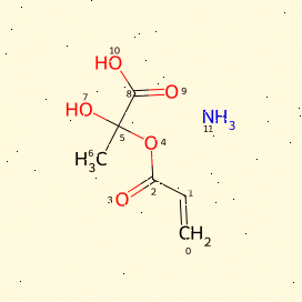 C=CC(=O)OC(C)(O)C(=O)O.N